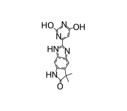 CC1(C)C(=O)Nc2cc3[nH]c(-c4cc(O)nc(O)n4)nc3cc21